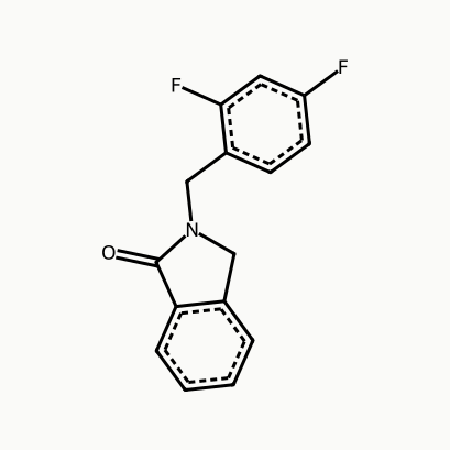 O=C1c2ccccc2CN1Cc1ccc(F)cc1F